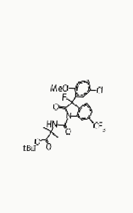 COc1ccc(Cl)cc1C1(F)C(=O)N(C(=O)NC(C)(C)C(=O)OC(C)(C)C)c2cc(C(F)(F)F)ccc21